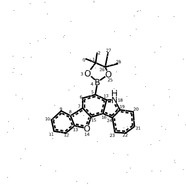 CC1(C)OB(c2cc3c4ccccc4oc3c3c2[nH]c2ccccc23)OC1(C)C